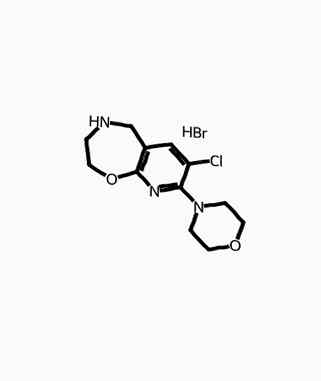 Br.Clc1cc2c(nc1N1CCOCC1)OCCNC2